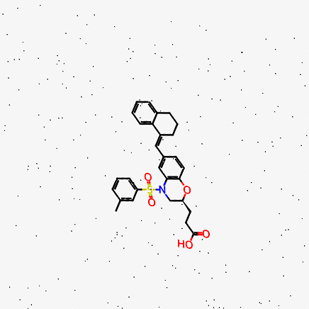 Cc1cccc(S(=O)(=O)N2C[C@H](CCC(=O)O)Oc3ccc(/C=C4\CCCc5ccccc54)cc32)c1